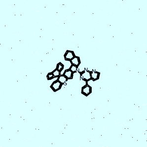 c1ccc(-c2nc(-n3c4cc5c(cc4c4c6ccccc6ccc43)C3(c4ccccc4S5)c4ccccc4-c4ccccc43)nc3ncccc23)cc1